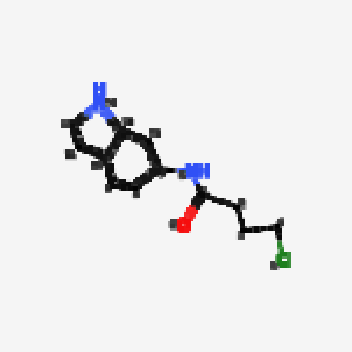 O=C(CCCCl)Nc1ccc2cc[nH]c2c1